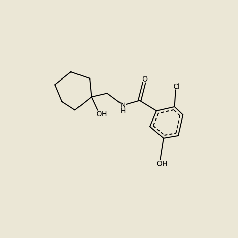 O=C(NCC1(O)CCCCC1)c1cc(O)ccc1Cl